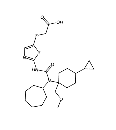 COCC1(N(C(=O)Nc2ncc(SCC(=O)O)s2)C2CCCCCC2)CCC(C2CC2)CC1